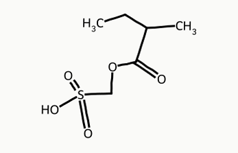 CCC(C)C(=O)OCS(=O)(=O)O